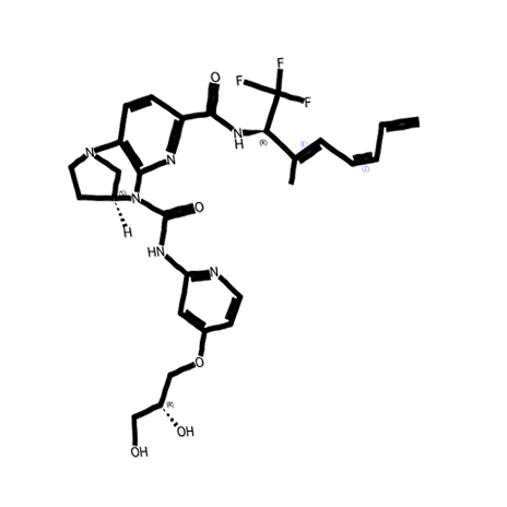 C=C/C=C\C=C(/C)[C@@H](NC(=O)c1ccc2c(n1)N(C(=O)Nc1cc(OC[C@H](O)CO)ccn1)[C@H]1CCN2C1)C(F)(F)F